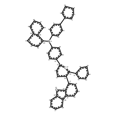 c1ccc(-c2ccc(N(c3ccc(-c4ccc(-c5cccc6c5oc5ccccc56)c(-c5ccccc5)c4)cc3)c3cccc4ccccc34)cc2)cc1